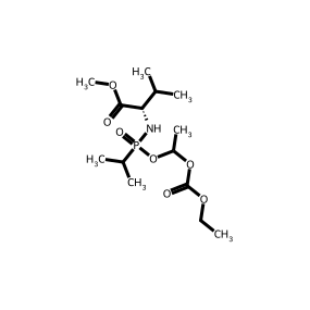 CCOC(=O)OC(C)OP(=O)(N[C@H](C(=O)OC)C(C)C)C(C)C